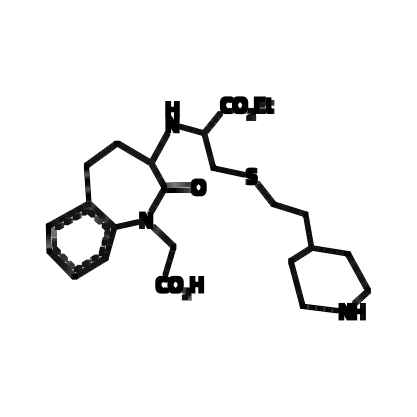 CCOC(=O)C(CSCCC1CCNCC1)NC1CCc2ccccc2N(CC(=O)O)C1=O